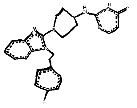 O=c1ccnc(NC2CCN(c3nc4ccccc4n3Cc3ccc(F)cc3)CC2)[nH]1